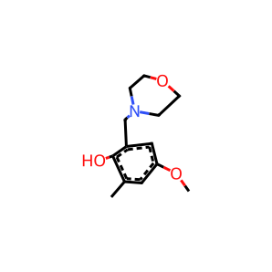 COc1cc(C)c(O)c(CN2CCOCC2)c1